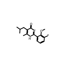 COc1c(F)cccc1-c1nc(=O)c(CC(C)C)c(C)[nH]1